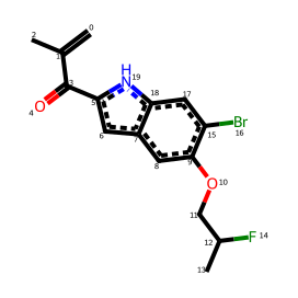 C=C(C)C(=O)c1cc2cc(OCC(C)F)c(Br)cc2[nH]1